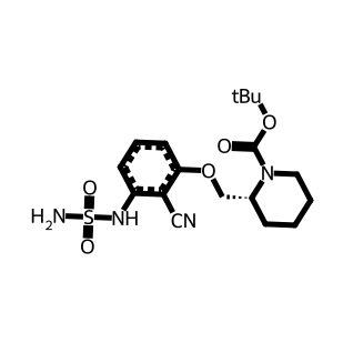 CC(C)(C)OC(=O)N1CCCC[C@@H]1COc1cccc(NS(N)(=O)=O)c1C#N